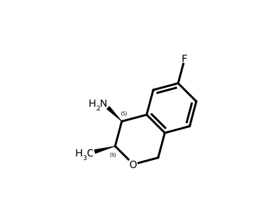 C[C@@H]1OCc2ccc(F)cc2[C@@H]1N